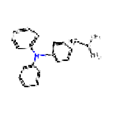 CB(C)C.c1ccc(N(c2ccccc2)c2ccccc2)cc1